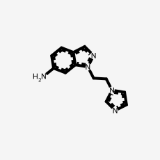 Nc1ccc2cnn(CCn3ccnc3)c2c1